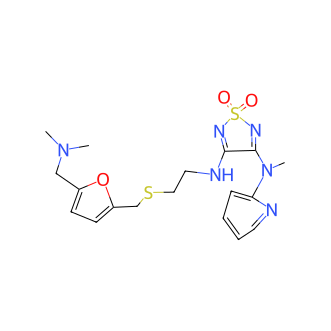 CN(C)Cc1ccc(CSCCNC2=NS(=O)(=O)N=C2N(C)c2ccccn2)o1